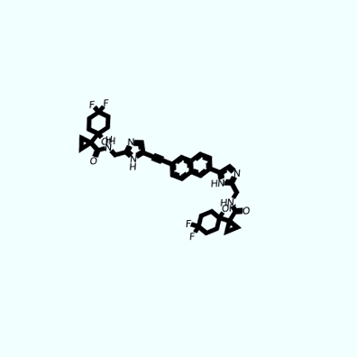 O=C(NCc1ncc(C#Cc2ccc3cc(-c4cnc(CNC(=O)C5(C6(O)CCC(F)(F)CC6)CC5)[nH]4)ccc3c2)[nH]1)C1(C2(O)CCC(F)(F)CC2)CC1